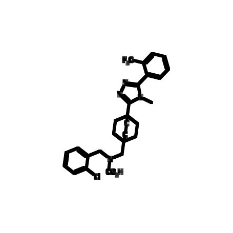 Cn1c(-c2ccccc2C(F)(F)F)nnc1C12CCC(CN(Cc3ccccc3Cl)C(=O)O)(CC1)CC2